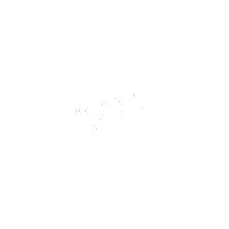 CS(=O)(=O)[CH]c1ccco1